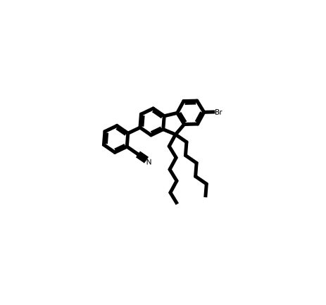 CCCCCCC1(CCCCCC)c2cc(Br)ccc2-c2ccc(-c3ccccc3C#N)cc21